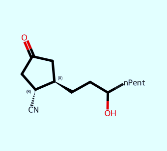 CCCCCC(O)CC[C@@H]1CC(=O)C[C@H]1C#N